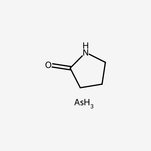 O=C1CCCN1.[AsH3]